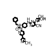 Cn1cc(-c2ccc(N(C(=O)NCc3ccccc3)[C@H]3CC[C@H](Nc4ncc(C#N)c(N5CC(C)(O)C5)n4)CC3)nc2)cn1